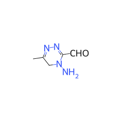 CC1=NN=C(C=O)N(N)C1